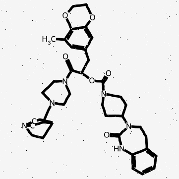 Cc1cc(CC(OC(=O)N2CCC(N3CCc4ccccc4NC3=O)CC2)C(=O)N2CCN(C3CN4CCC3CC4)CC2)cc2c1OCCO2